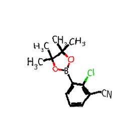 CC1(C)OB(c2cccc(C#N)c2Cl)OC1(C)C